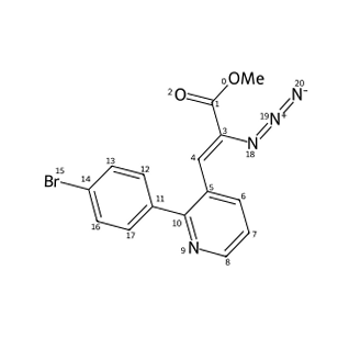 COC(=O)/C(=C/c1cccnc1-c1ccc(Br)cc1)N=[N+]=[N-]